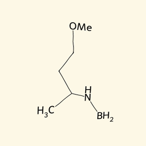 BNC(C)CCOC